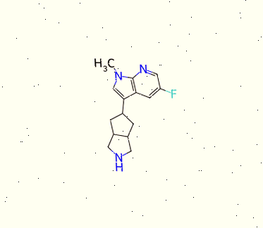 Cn1cc(C2CC3CNCC3C2)c2cc(F)cnc21